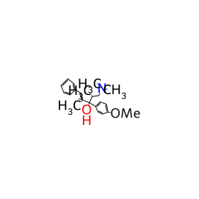 COc1ccc(C(O)(C(C)=Cc2ccccc2)C(C)CN(C)C)cc1